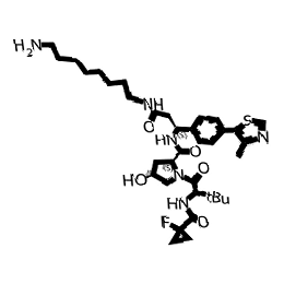 Cc1ncsc1-c1ccc([C@H](CC(=O)NCCCCCCCCN)NC(=O)[C@@H]2C[C@@H](O)CN2C(=O)C(NC(=O)C2(F)CC2)C(C)(C)C)cc1